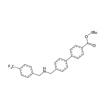 CC(C)(C)OC(=O)c1ccc(-c2ccc(CNCc3ccc(C(F)(F)F)cc3)cc2)cc1